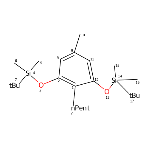 CCCCCc1c(O[Si](C)(C)C(C)(C)C)cc(C)cc1O[Si](C)(C)C(C)(C)C